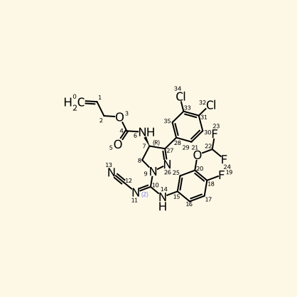 C=CCOC(=O)N[C@@H]1CN(/C(=N\C#N)Nc2ccc(F)c(OC(F)F)c2)N=C1c1ccc(Cl)c(Cl)c1